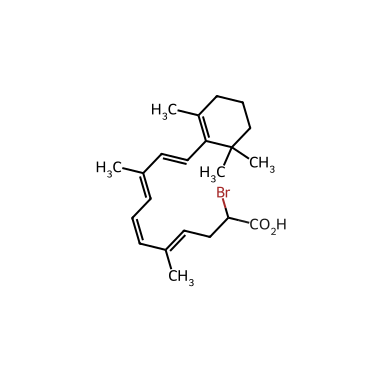 CC(C=CC1=C(C)CCCC1(C)C)=C/C=C\C(C)=CCC(Br)C(=O)O